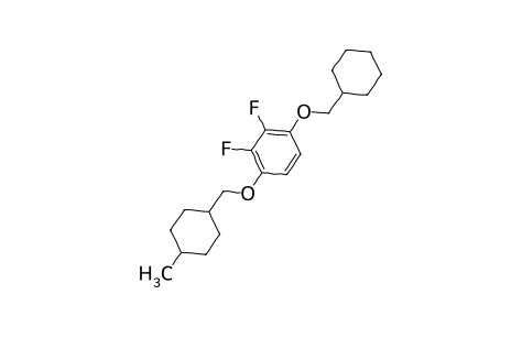 CC1CCC(COc2ccc(OCC3CCCCC3)c(F)c2F)CC1